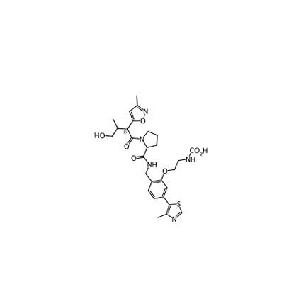 Cc1cc([C@@H](C(=O)N2CCCC2C(=O)NCc2ccc(-c3scnc3C)cc2OCCNC(=O)O)C(C)CO)on1